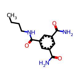 CCCCNC(=O)c1cc(C(N)=O)cc(C(N)=O)c1